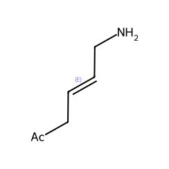 CC(=O)C/C=C/CN